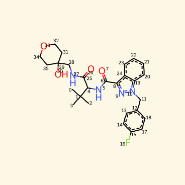 CC(C)(C)C(NC(=O)c1nn(Cc2ccc(F)cc2)c2ccccc12)C(=O)NCC1(O)CCOCC1